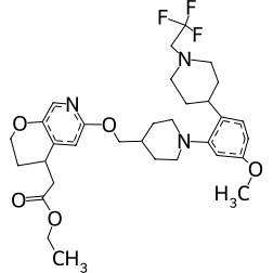 CCOC(=O)CC1CCOc2cnc(OCC3CCN(c4cc(OC)ccc4C4CCN(CC(F)(F)F)CC4)CC3)cc21